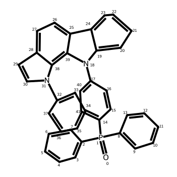 O=P(c1ccccc1)(c1ccccc1)c1ccc(-n2c3ccccc3c3ccc4ccn(-c5ccccc5)c4c32)cc1